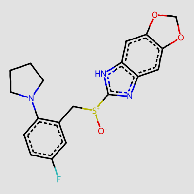 [O-][S+](Cc1cc(F)ccc1N1CCCC1)c1nc2cc3c(cc2[nH]1)OCO3